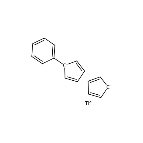 [Ti+2].c1cc[cH-]c1.c1ccc(-[c-]2cccc2)cc1